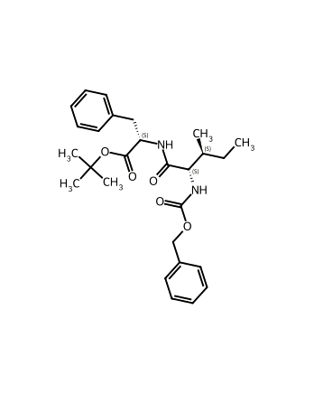 CC[C@H](C)[C@H](NC(=O)OCc1ccccc1)C(=O)N[C@@H](Cc1ccccc1)C(=O)OC(C)(C)C